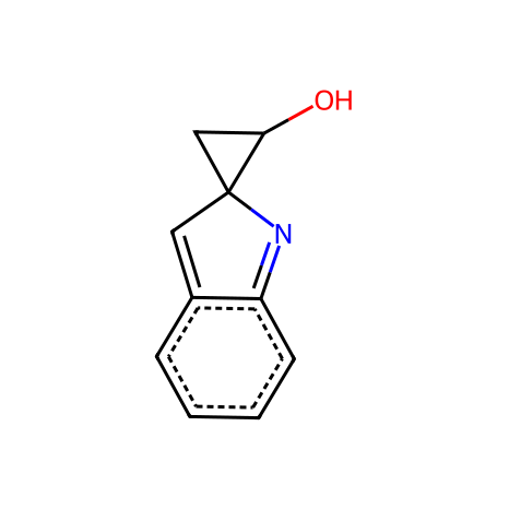 OC1CC12C=c1ccccc1=N2